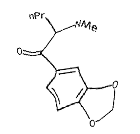 CCCC(NC)C(=O)c1ccc2c(c1)OCO2